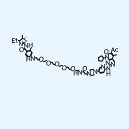 CCC1N=C(NC(=O)c2ccc(NCCOCCOCCOCCOCCOCCNC(=O)CN3CCN(c4ccc(Nc5ncc6c(C)c(C(C)=O)c(=O)n(C7CCCC7)c6n5)nc4)CC3)cc2C)SC1C